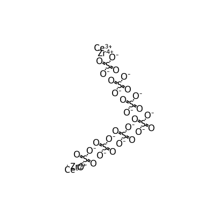 O=S(=O)([O-])[O-].O=S(=O)([O-])[O-].O=S(=O)([O-])[O-].O=S(=O)([O-])[O-].O=S(=O)([O-])[O-].O=S(=O)([O-])[O-].O=S(=O)([O-])[O-].[Ce+3].[Ce+3].[Zr+4].[Zr+4]